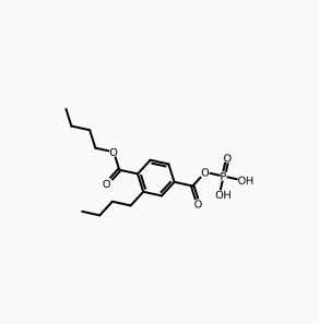 CCCCOC(=O)c1ccc(C(=O)OP(=O)(O)O)cc1CCCC